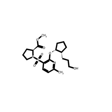 COC(=O)[C@@H]1CCCN1S(=O)(=O)c1ccc(C)nc1O[C@@H]1CCC[C@@H]1CCCO